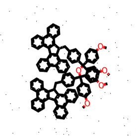 COc1ccc(C(OC(c2ccc(CC3c4c(c5ccccc5c5ccccc45)-c4c3c3ccccc3c3ccccc43)cc2)(c2ccc(OC)cc2)c2ccc(OC)cc2)(c2ccc(CC3c4c(c5ccccc5c5ccccc45)-c4c3c3ccccc3c3ccccc43)cc2)c2ccc(OC)cc2)cc1